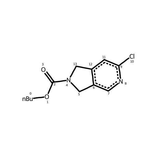 CCCCOC(=O)N1Cc2cnc(Cl)cc2C1